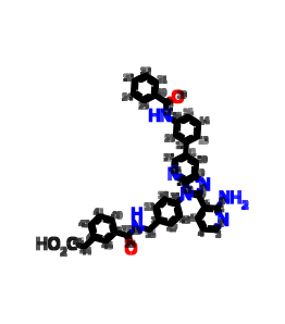 Nc1ncccc1-c1nc2cc(-c3cccc(NC(=O)c4ccccc4)c3)cnc2n1-c1ccc(CNC(=O)c2cccc(CC(=O)O)c2)cc1